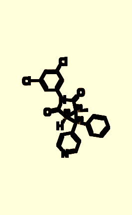 C[C@@]12C(=O)N(c3cc(Cl)cc(Cl)c3)C(=O)[C@@H]1[C@]2(c1ccccc1)c1ccncc1